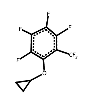 Fc1c(F)c(F)c(C(F)(F)F)c(OC2CC2)c1F